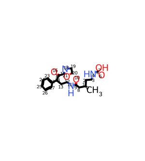 CC(CCNC(=O)O)CC(=O)NCCC(C(=O)C1=NCCO1)c1ccccc1